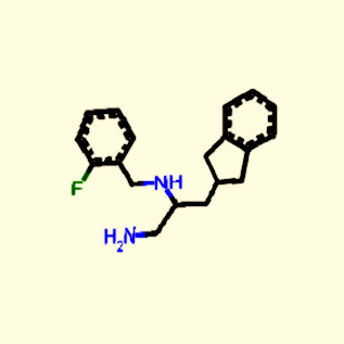 NCC(CC1Cc2ccccc2C1)NCc1ccccc1F